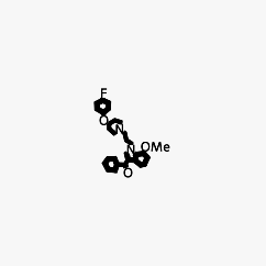 COc1cccc2c(C(=O)c3ccccc3)cn(CCCN3CCC(Oc4ccc(F)cc4)CC3)c12